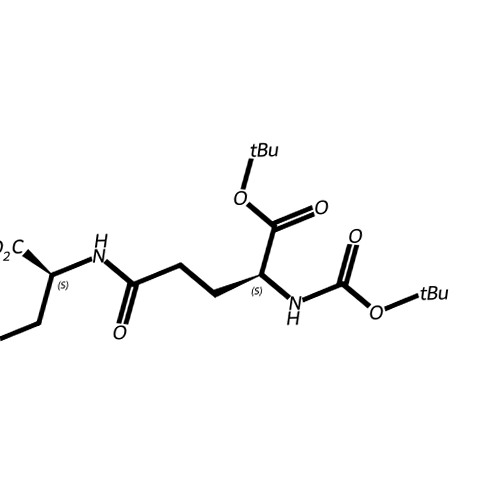 CC(C)(C)OC(=O)N[C@@H](CCC(=O)N[C@@H](CO)C(=O)O)C(=O)OC(C)(C)C